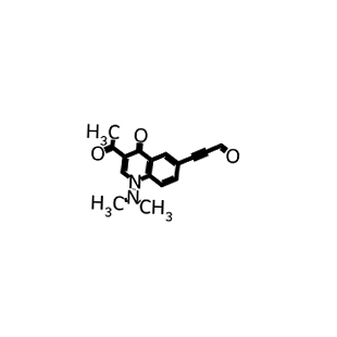 CC(=O)c1cn(N(C)C)c2ccc(C#CC=O)cc2c1=O